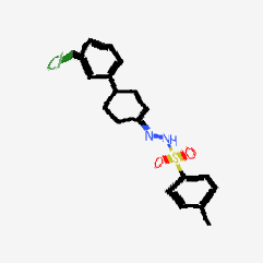 Cc1ccc(S(=O)(=O)NN=C2CCC(c3cccc(Cl)c3)CC2)cc1